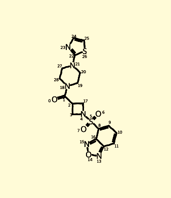 O=C(C1CN(S(=O)(=O)c2cccc3nonc23)C1)N1CCN(c2nccs2)CC1